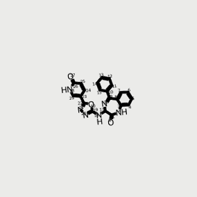 O=C1Nc2ccccc2C(c2ccccc2)=NC1Nc1nnc(-c2ccc(=O)[nH]c2)o1